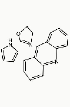 C1=NCCO1.c1cc[nH]c1.c1ccc2nc3ccccc3cc2c1